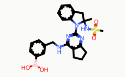 CC1(NS(C)(=O)=O)Cc2ccccc2N1c1nc2c(c(NCc3cccc(B(O)O)c3)n1)CCC2